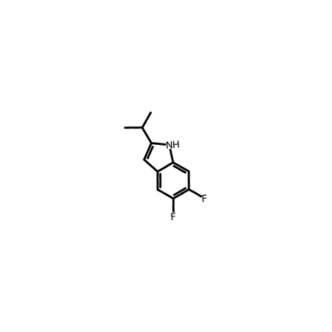 CC(C)c1cc2cc(F)c(F)cc2[nH]1